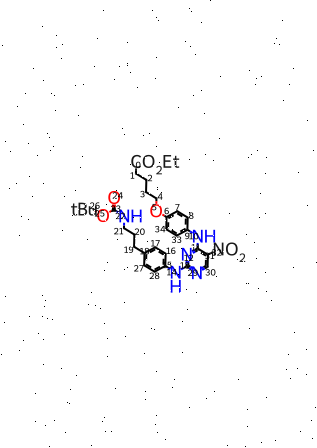 CCOC(=O)CCCCOc1ccc(Nc2nc(Nc3ccc(CCCNC(=O)OC(C)(C)C)cc3)ncc2[N+](=O)[O-])cc1